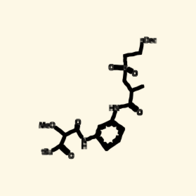 CCCCCCCCCCCCS(=O)(=O)CC(C)C(=O)Nc1cccc(NC(=O)C(OC)C(=O)C(C)(C)C)c1